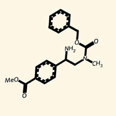 COC(=O)c1ccc(C(N)CN(C)C(=O)OCc2ccccc2)cc1